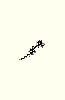 CCCCCCCc1ccc(OCCNc2ncnc3sccc23)c(C)c1